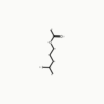 CC(=O)OCCCC(C)I